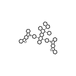 c1ccc(-c2c(-c3cccc4ccccc34)c3ccccc3c3cc4c(-c5ccc(-n6c7ccccc7c7cc8c(cc76)oc6ccccc68)cc5)c5ccccc5c(-c5ccc(-n6c7ccccc7c7cc8c(cc76)oc6ccccc68)cc5)c4cc23)cc1